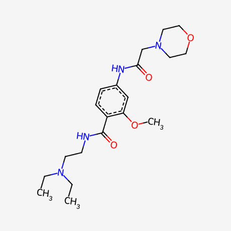 CCN(CC)CCNC(=O)c1ccc(NC(=O)CN2CCOCC2)cc1OC